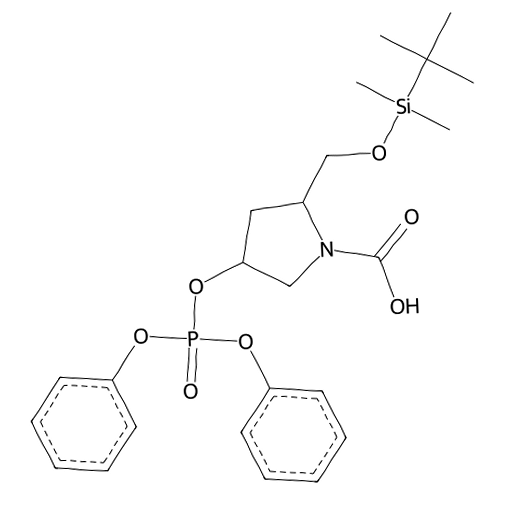 CC(C)(C)[Si](C)(C)OCC1CC(OP(=O)(Oc2ccccc2)Oc2ccccc2)CN1C(=O)O